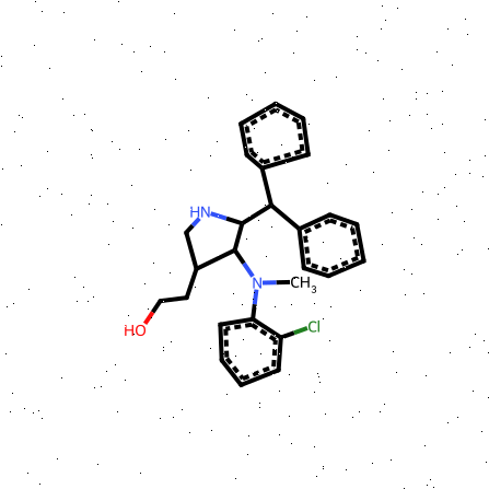 CN(c1ccccc1Cl)C1C(CCO)CNC1C(c1ccccc1)c1ccccc1